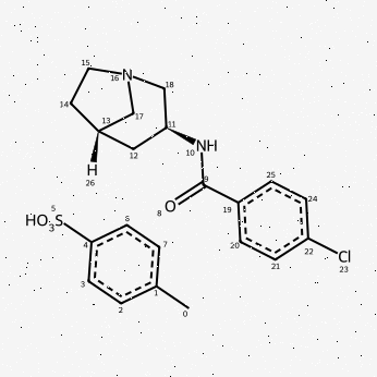 Cc1ccc(S(=O)(=O)O)cc1.O=C(N[C@H]1C[C@@H]2CCN(C2)C1)c1ccc(Cl)cc1